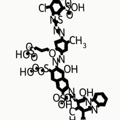 Cc1cc(N=Nc2c(SOOO)cc3cc(S(=O)(=O)O)c(N=Nc4c(C)c(C#N)c5nc6ccccc6n5c4O)cc3c2O)c(OCCCS(=O)(=O)O)cc1N=Nc1nc2c(Cl)cc(Cl)c(S(=O)(=O)O)c2s1